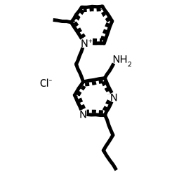 CCCc1ncc(C[n+]2ccccc2C)c(N)n1.[Cl-]